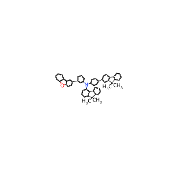 CC1(C)c2ccccc2-c2ccc(-c3ccc(N(c4cccc(-c5ccc6oc7ccccc7c6c5)c4)c4cccc5c4-c4ccccc4C5(C)C)cc3)cc21